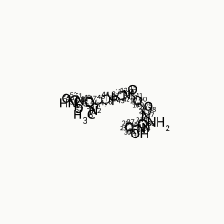 Cn1cc(C2CCN(CC3(F)CCN(C(=O)c4ccc([C@@H]5CN(c6cc(-c7ccccc7O)nnc6N)CCO5)cc4)CC3)CC2)c2ccc(N3CCC(=O)NC3=O)cc21